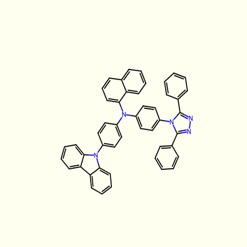 c1ccc(-c2nnc(-c3ccccc3)n2-c2ccc(N(c3ccc(-n4c5ccccc5c5ccccc54)cc3)c3cccc4ccccc34)cc2)cc1